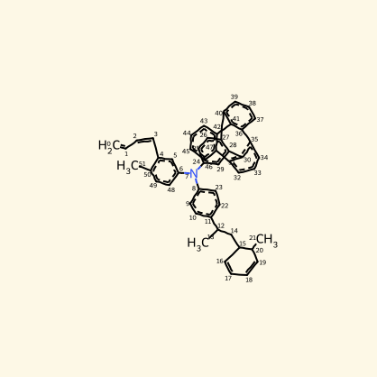 C=C/C=C\c1cc(N(c2ccc(C(C)CC3C=CC=CC3C)cc2)c2ccc3c(c2)-c2c4cccc2-c2cccc-3c2-c2ccccc2-4)ccc1C